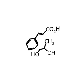 CC(O)CO.O=C(O)C=Cc1ccccc1